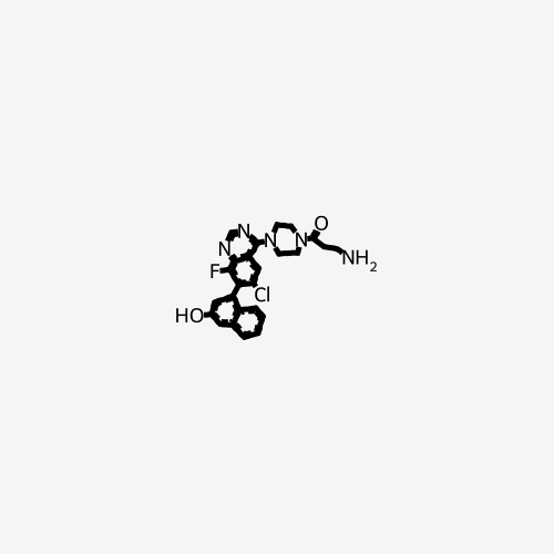 NCCC(=O)N1CCN(c2ncnc3c(F)c(-c4cc(O)cc5ccccc45)c(Cl)cc23)CC1